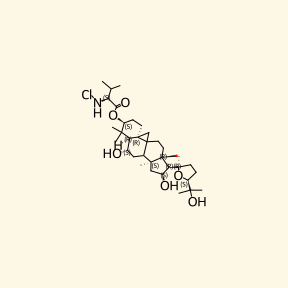 CC(C)[C@H](NCl)C(=O)O[C@H]1CC[C@]23CC24CC[C@]2(C)[C@@H]([C@@]5(C)CC[C@@H](C(C)(C)O)O5)[C@@H](O)C[C@@]2(C)C4C[C@H](O)[C@H]3C1(C)C